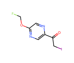 O=C(CI)c1cnc(OCF)cn1